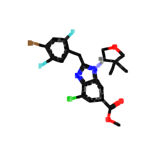 COC(=O)c1cc(Cl)c2nc(Cc3cc(F)c(Br)cc3F)n([C@@H]3COCC3(C)C)c2c1